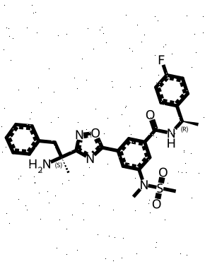 C[C@@H](NC(=O)c1cc(-c2nc([C@@](C)(N)Cc3ccccc3)no2)cc(N(C)S(C)(=O)=O)c1)c1ccc(F)cc1